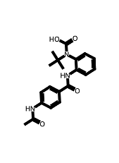 CC(=O)Nc1ccc(C(=O)Nc2ccccc2N(C(=O)O)C(C)(C)C)cc1